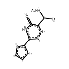 CCC(NC(C)=O)c1nnc(-c2nccs2)[nH]c1=O